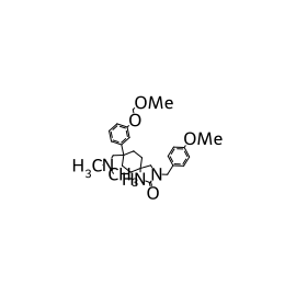 COCOc1cccc(C2(CN(C)C)CCC3(CC2)CN(Cc2ccc(OC)cc2)C(=O)N3)c1